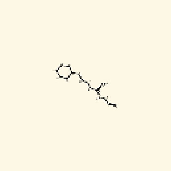 C=CCOC(=O)CCCCC1CCCCC1